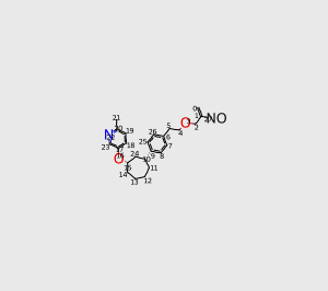 C=C(COCCc1ccc([C@@H]2CCCC[C@H](Oc3ccc(C)nc3)C2)cc1)N=O